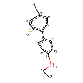 CCOc1ccc(-c2ccc(C)cc2F)cc1